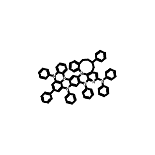 c1ccc(-c2cc3c4c(c2)N(c2ccccc2)c2cc5c(cc2B4c2ccccc2N3c2ccccc2)B2c3ccccc3CCC(c3ccccc3)Cc3cc(N(c4ccccc4)c4ccccc4)nc(c32)N5c2ccccc2)cc1